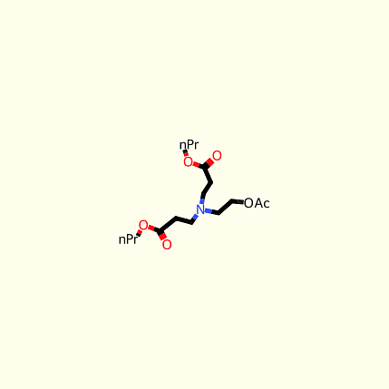 CCCOC(=O)CCN(CCOC(C)=O)CCC(=O)OCCC